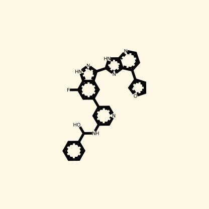 OC(Nc1cncc(-c2cc(F)c3[nH]nc(-c4nc5c(-c6ccoc6)ccnc5[nH]4)c3c2)c1)c1ccccc1